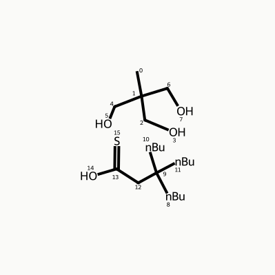 CC(CO)(CO)CO.CCCCC(CCCC)(CCCC)CC(O)=S